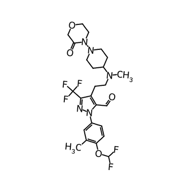 Cc1cc(-n2nc(C(F)(F)F)c(CCN(C)C3CCN(N4CCOCC4=O)CC3)c2C=O)ccc1OC(F)F